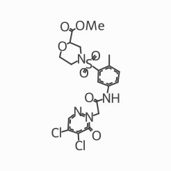 COC(=O)C1CN(S(=O)(=O)c2cc(NC(=O)Cn3ncc(Cl)c(Cl)c3=O)ccc2C)CCO1